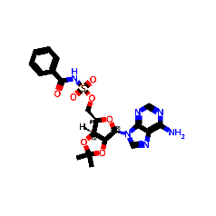 CC1(C)OC2[C@@H](O1)[C@@H](COS(=O)(=O)NC(=O)c1ccccc1)O[C@H]2n1cnc2c(N)ncnc21